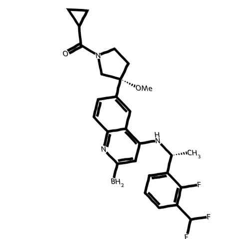 Bc1cc(N[C@H](C)c2cccc(C(F)F)c2F)c2cc([C@]3(OC)CCN(C(=O)C4CC4)C3)ccc2n1